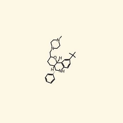 CN1CCN(CC2CC[C@H]3[C@@H](c4ccccc4)Nc4ccc(C(C)(C)C)cc4[C@H]3O2)CC1